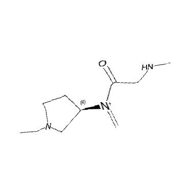 C=[N+](C(=O)CNC)[C@@H]1CCN(C)C1